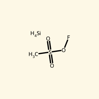 CS(=O)(=O)OF.[SiH4]